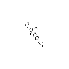 Cc1cc(Nc2cc3nc(-c4ccc(F)cc4)sc3cn2)nc(O[C@H]2CCNC2)c1